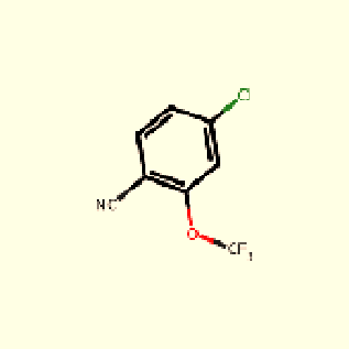 N#Cc1ccc(Cl)cc1OC(F)(F)F